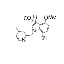 COc1ccc(C(C)C)c2c1c(C(=O)O)cn2Cc1cc(C)ccn1